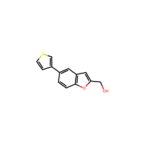 OCc1cc2cc(-c3ccsc3)ccc2o1